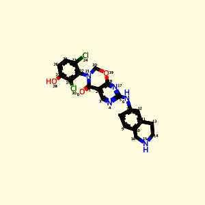 O=C1c2cnc(Nc3ccc4c(c3)CCNC4)nc2OCN1c1c(Cl)ccc(O)c1Cl